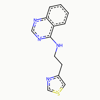 c1ccc2c(NCCc3cscn3)ncnc2c1